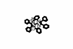 Clc1ccccc1N1C(c2ccccc2)=C(c2ccccc2)N(c2ccccc2Cl)C1c1nc(-c2ccccc2)c(-c2ccccc2)[nH]1